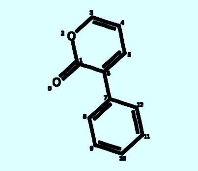 O=c1occcc1-c1ccccc1